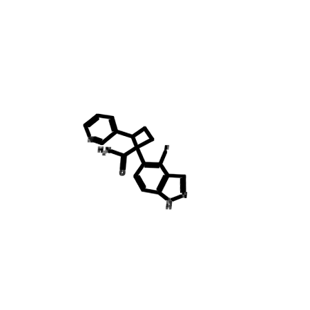 NC(=O)C1(c2ccc3[nH]ncc3c2F)CCC1c1cccnc1